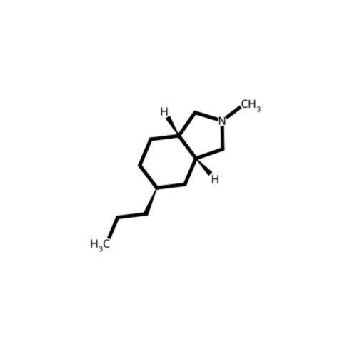 CCC[C@H]1CC[C@@H]2CN(C)C[C@@H]2C1